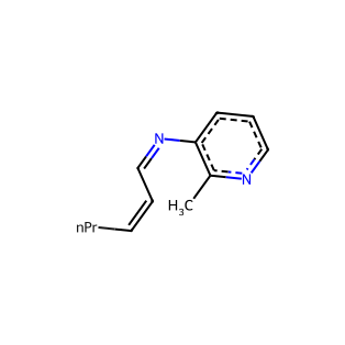 CCC/C=C\C=N/c1cccnc1C